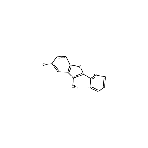 Cc1c(-c2[c]cccn2)oc2ccc(Cl)cc12